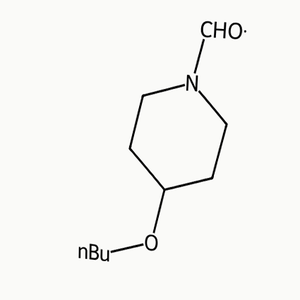 CCCCOC1CCN([C]=O)CC1